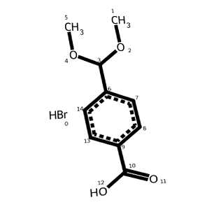 Br.COC(OC)c1ccc(C(=O)O)cc1